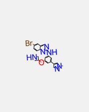 Cn1cc(-c2cc(Nc3ncc4cc(Br)ccc4n3)cc(OC3CNC3)c2)cn1